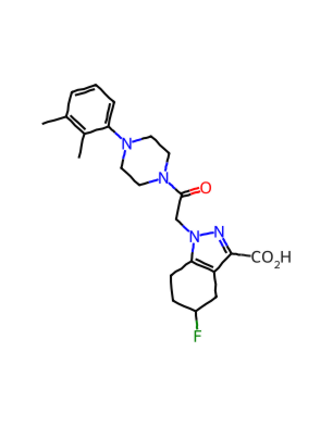 Cc1cccc(N2CCN(C(=O)Cn3nc(C(=O)O)c4c3CCC(F)C4)CC2)c1C